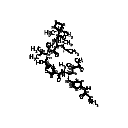 CC[C@H](C)[C@H](NC(=O)[C@@]1(C)CCCN1C)C(=O)N(C)[C@H](C[C@@H](O)c1nc(C(=O)N[C@@H](Cc2ccc(NC(=O)CN)cc2)C[C@H](C)C(=O)O)cs1)C(C)C